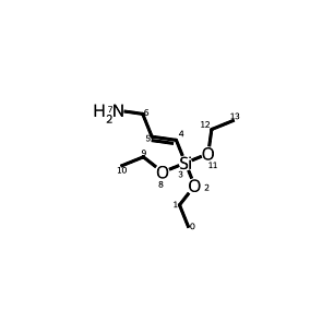 CCO[Si](C=CCN)(OCC)OCC